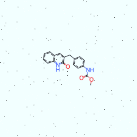 COC(=O)Nc1ccc(Cc2cc3ccccc3[nH]c2=O)cc1